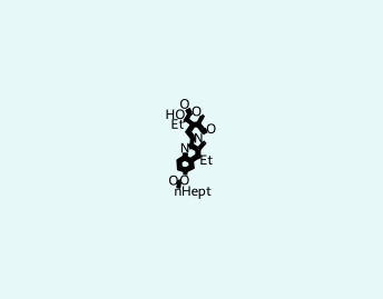 CCCCCCCC(=O)Oc1ccc2nc3c(c(CC)c2c1)Cn1c-3cc2c(c1=O)COC(=O)[C@]2(O)CC